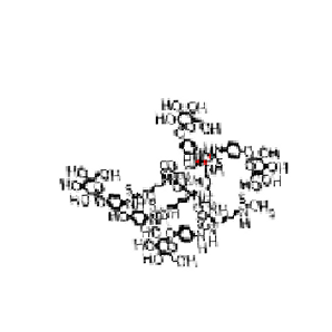 CC(=S)NCCCC[C@H](NC(=S)Nc1ccc(O[C@H]2OC(CO)[C@@H](O)C(O)C2O)cc1)C(=O)N[C@@H](CCCCNC(=S)Nc1ccc(O[C@H]2OC(CO)[C@@H](O)C(O)C2O)cc1)C(=O)N[C@@H](CCCCNC(=S)Nc1ccc(O)cc1)C(=O)N[C@@H](CCCCNC(=S)Nc1ccc(O[C@H]2OC(CO)[C@@H](O)C(O)C2O)cc1)C(=O)N[C@H](C=O)CCCCNC(=S)Nc1ccc(O[C@H]2OC(CO)[C@@H](O)C(O)C2O)cc1